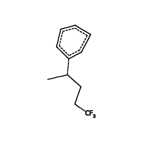 CC(CCC(F)(F)F)c1ccccc1